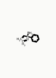 B[PH](C=C)(C=C)c1ccccc1